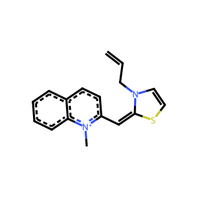 C=CCN1C=CSC1=Cc1ccc2ccccc2[n+]1C